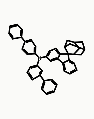 c1ccc(-c2ccc(N(c3cccc(-c4ccccc4)c3)c3ccc4c(c3)-c3ccccc3C43C4CC5CC(C4)CC3C5)cc2)cc1